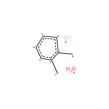 B.Cc1ccccc1C.O